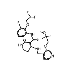 COC(C)(C)COc1cnccc1CNC1=C(C(=S)Nc2cccc(F)c2OCC(F)F)C(=O)NCC1